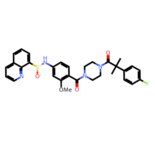 COc1cc(N[S+]([O-])c2cccc3cccnc23)ccc1C(=O)N1CCN(C(=O)C(C)(C)c2ccc(F)cc2)CC1